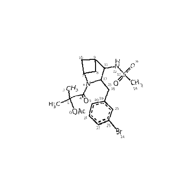 CC(=O)OC(C)(C)C(=O)N1C2CC(C2)C(NS(C)(=O)=O)C1Cc1cccc(Br)c1